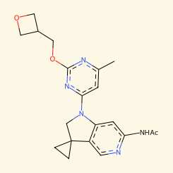 CC(=O)Nc1cc2c(cn1)C1(CC1)CN2c1cc(C)nc(OCC2COC2)n1